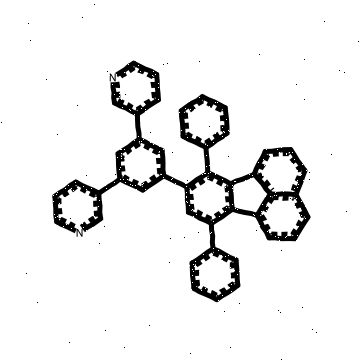 c1ccc(-c2cc(-c3cc(-c4cccnc4)cc(-c4cccnc4)c3)c(-c3ccccc3)c3c2-c2cccc4cccc-3c24)cc1